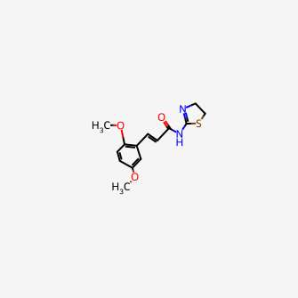 COc1ccc(OC)c(/C=C/C(=O)NC2=NCCS2)c1